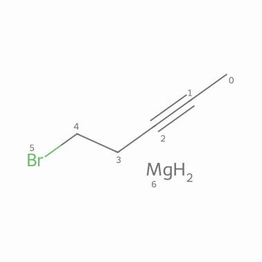 CC#CCCBr.[MgH2]